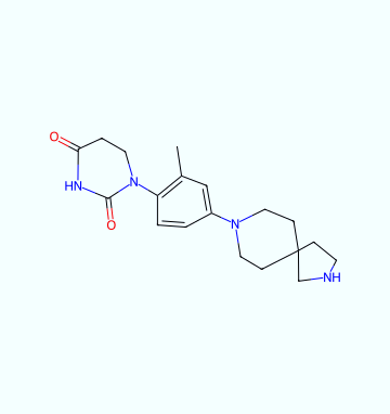 Cc1cc(N2CCC3(CCNC3)CC2)ccc1N1CCC(=O)NC1=O